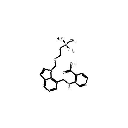 C[Si](C)(C)CCOCn1ccc2cccc(CNc3cnccc3C(=O)O)c21